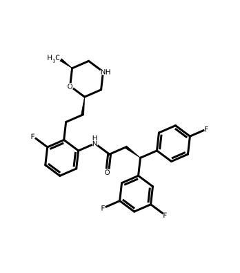 C[C@H]1CNC[C@@H](CCc2c(F)cccc2NC(=O)C[C@@H](c2ccc(F)cc2)c2cc(F)cc(F)c2)O1